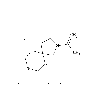 C=C(C)N1CCC2(CCNCC2)C1